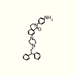 Nc1ccc(N2CCc3ccc(N4CCN(CCC(c5ccccc5)c5ccccc5)CC4)cc3C2=O)cc1